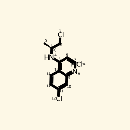 C[C@@H](CCl)Nc1ccnc2cc(Cl)ccc12.Cl